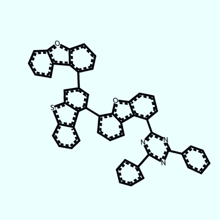 c1ccc(-c2nc(-c3ccccc3)nc(-c3cccc4oc5c(-c6cc(-c7cccc8oc9ccccc9c78)cc7sc8ccccc8c67)cccc5c34)n2)cc1